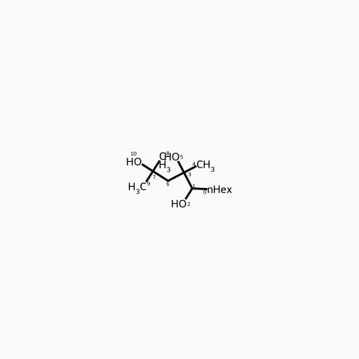 CCCCCCC(O)C(C)(O)CC(C)(C)O